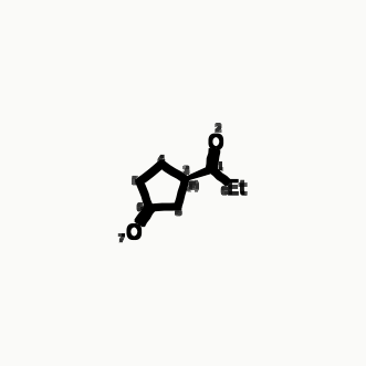 CCC(=O)[C@@H]1CCC(=O)C1